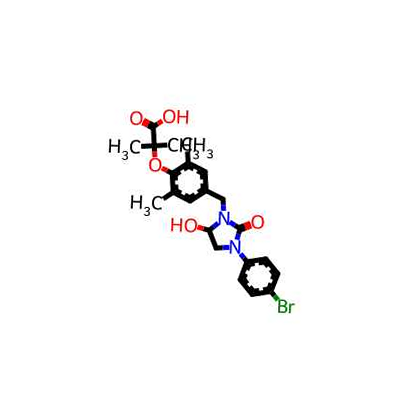 Cc1cc(CN2C(=O)N(c3ccc(Br)cc3)CC2O)cc(C)c1OC(C)(C)C(=O)O